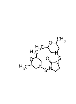 CC1CN(SN2CCN(SN3CC(C)OC(C)C3)C2=O)CC(C)O1